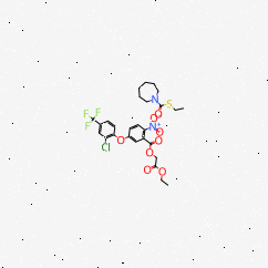 CCOC(=O)COC(=O)c1cc(Oc2ccc(C(F)(F)F)cc2Cl)ccc1[N+](=O)[O-].CCSC(=O)N1CCCCCC1